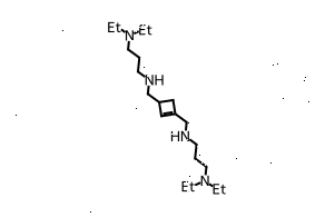 CCN(CC)CCCNCC1=CC(CNCCCN(CC)CC)C1